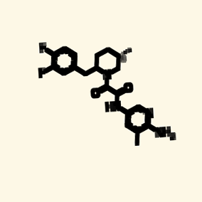 Cc1cc(NC(=O)C(=O)N2C[C@@H](C)CCC2Cc2ccc(F)c(F)c2)cnc1N